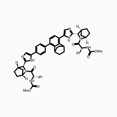 COC(=O)N[C@H](C(=O)N1[C@@H]2CC[C@@H](C2)[C@H]1c1ncc(-c2ccc(-c3ccc(-c4cnc([C@@H]5[C@H]6CC[C@H](C6)N5C(=O)[C@@H](NC(=O)OC)C(C)C)[nH]4)c4c3C3CCC4CC3)cc2)[nH]1)C(C)C